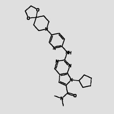 CN(C)C(=O)c1cc2cnc(Nc3ccc(N4CCC5(CC4)OCCO5)cn3)nc2n1C1CCCC1